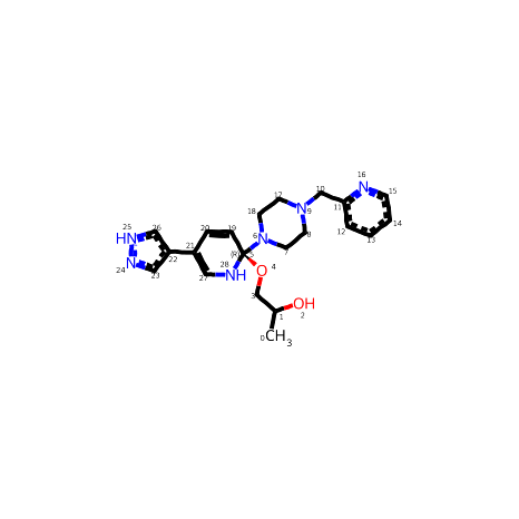 CC(O)CO[C@]1(N2CCN(Cc3ccccn3)CC2)C=CC(c2cn[nH]c2)=CN1